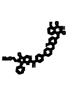 COCCn1c(=O)c2cnc(Nc3ccc(N4CCN(Cc5cc(Cn6c(=O)[nH]c(=O)c7c(F)cccc76)ccc5F)CC4)cc3)nc2n1-c1ccccn1